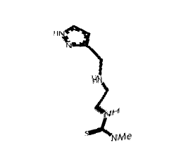 CNC(=S)NCCNCc1cc[nH]n1